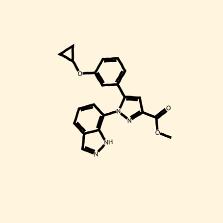 COC(=O)c1cc(-c2cccc(OC3CC3)c2)n(-c2cccc3cn[nH]c23)n1